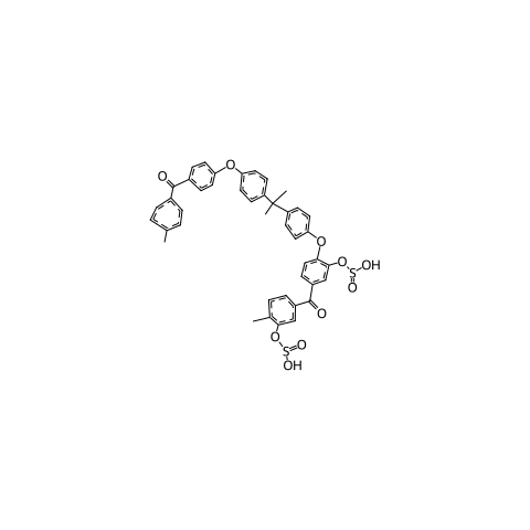 Cc1ccc(C(=O)c2ccc(Oc3ccc(C(C)(C)c4ccc(Oc5ccc(C(=O)c6ccc(C)c(OS(=O)O)c6)cc5OS(=O)O)cc4)cc3)cc2)cc1